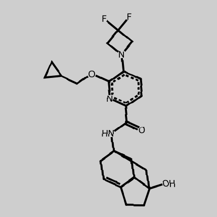 O=C(NC12CC=C3CCC(O)(C1)C3C2)c1ccc(N2CC(F)(F)C2)c(OCC2CC2)n1